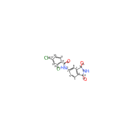 O=C(Nc1ccc2c(c1)C(=O)NC2=O)c1ccc(Cl)cc1Cl